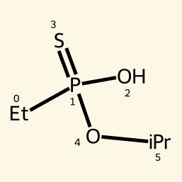 CCP(O)(=S)OC(C)C